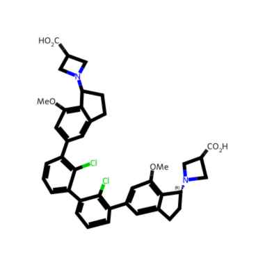 COc1cc(-c2cccc(-c3cccc(-c4cc5c(c(OC)c4)[C@H](N4CC(C(=O)O)C4)CC5)c3Cl)c2Cl)cc2c1C(N1CC(C(=O)O)C1)CC2